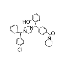 O=C(c1ccc(C(c2ccccc2O)N2CCN(C(c3ccccc3)c3ccc(Cl)cc3)CC2)cc1)N1CCCCC1